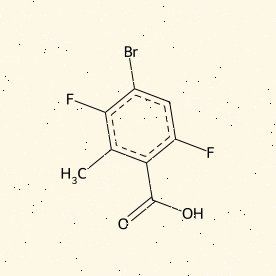 Cc1c(F)c(Br)cc(F)c1C(=O)O